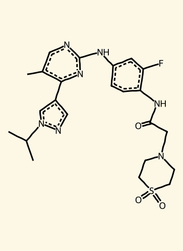 Cc1cnc(Nc2ccc(NC(=O)CN3CCS(=O)(=O)CC3)c(F)c2)nc1-c1cnn(C(C)C)c1